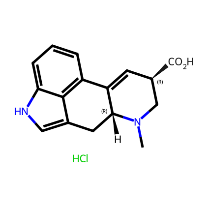 CN1C[C@H](C(=O)O)C=C2c3cccc4[nH]cc(c34)C[C@H]21.Cl